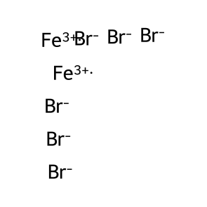 [Br-].[Br-].[Br-].[Br-].[Br-].[Br-].[Fe+3].[Fe+3]